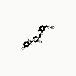 CC[C@H]1CN(c2nc3ccc(Cl)cc3s2)CCN1CCOc1cc(CC=O)ccc1C